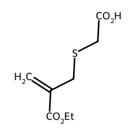 C=C(CSCC(=O)O)C(=O)OCC